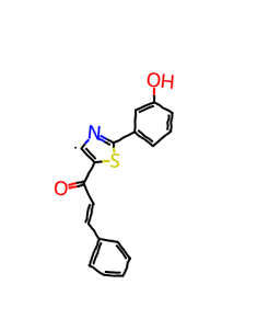 O=C(C=Cc1ccccc1)c1[c]nc(-c2cccc(O)c2)s1